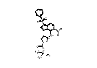 CC(C)(C)OC(=O)N1CC[C@@H](Nc2c([N+](=O)[O-])cnc3c2ccn3S(=O)(=O)c2ccccc2)C1